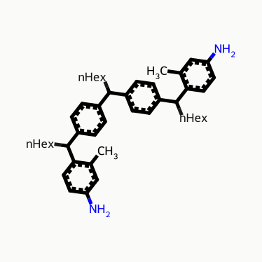 CCCCCCC(c1ccc(C(CCCCCC)c2ccc(N)cc2C)cc1)c1ccc(C(CCCCCC)c2ccc(N)cc2C)cc1